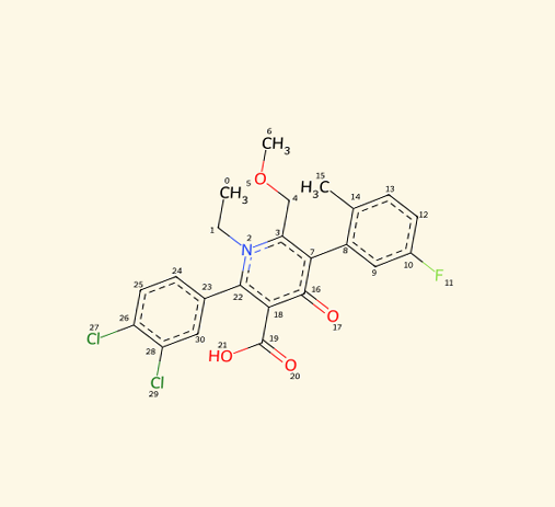 CCn1c(COC)c(-c2cc(F)ccc2C)c(=O)c(C(=O)O)c1-c1ccc(Cl)c(Cl)c1